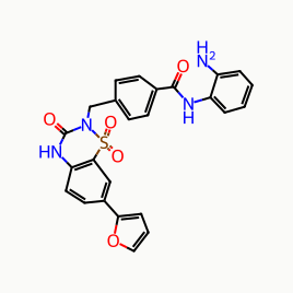 Nc1ccccc1NC(=O)c1ccc(CN2C(=O)Nc3ccc(-c4ccco4)cc3S2(=O)=O)cc1